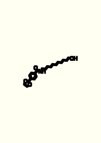 O=C(NCCCCCCCCCCCO)c1ccc(C2OCCO2)cc1